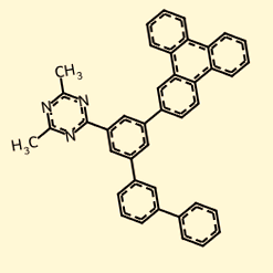 Cc1nc(C)nc(-c2cc(-c3cccc(-c4ccccc4)c3)cc(-c3ccc4c5ccccc5c5ccccc5c4c3)c2)n1